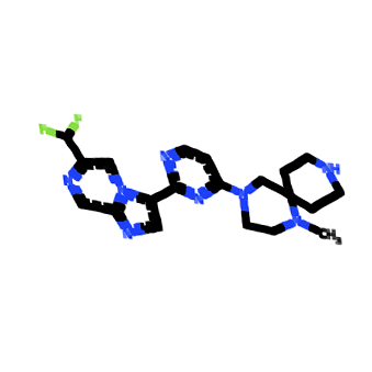 CN1CCN(c2ccnc(-c3cnc4cnc(C(F)F)cn34)n2)CC12CCNCC2